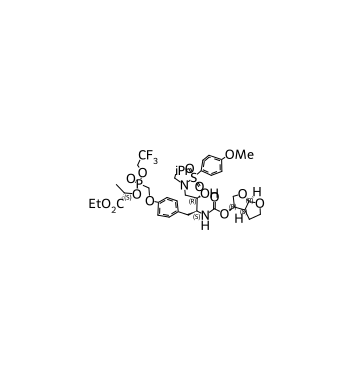 CCOC(=O)[C@H](C)OP(=O)(COc1ccc(C[C@H](NC(=O)O[C@H]2CO[C@H]3OCC[C@H]32)[C@H](O)CN(CC(C)C)S(=O)(=O)c2ccc(OC)cc2)cc1)OCC(F)(F)F